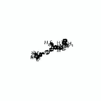 [2H]C1([2H])CC([2H])(c2c(F)cc(CCN3CCN(C4CCN(c5cc(OCC)c(Nc6ncc(Br)c(Nc7cnc8ccccc8c7P(C)(C)=O)n6)cc5-c5cnn(C)c5)CC4)CC3)cc2F)C(=O)NC1=O